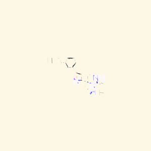 Bc1cccc(-c2cc([C@](C)(CC(C)=O)NC(C)=N)no2)c1